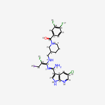 N/C(=N\C(NCC1CCCN(C(=O)c2ccc(F)c(F)c2)C1)=C(\F)CI)c1c[nH]c2ncc(Cl)cc12